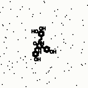 O=C(N[C@@H](Cc1ccc(O)cc1)C(=O)NCCc1ccc(O)c(O)c1)c1ccc(O)cc1